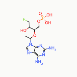 CC(O[C@H](COP(=O)(O)O)C(O)CF)n1cnc2c(N)nc(N)nc21